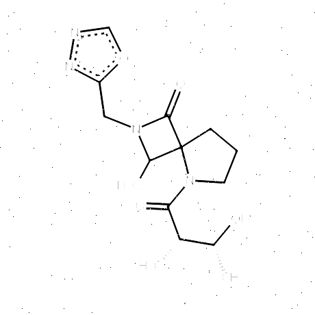 CC1N(Cc2nnco2)C(=O)C12CCCN2C(=O)[C@@H](C)[C@@H](C)O